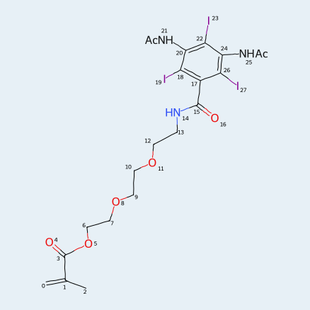 C=C(C)C(=O)OCCOCCOCCNC(=O)c1c(I)c(NC(C)=O)c(I)c(NC(C)=O)c1I